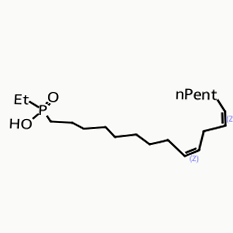 CCCCC/C=C\C/C=C\CCCCCCCCP(=O)(O)CC